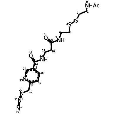 CC(=O)NCCSSCCNC(=O)CCNC(=O)c1ccc(CN=[N+]=[N-])nc1